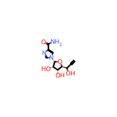 C#CC(O)[C@@H]1O[C@@H](n2cnc(C(N)=O)c2)[C@@H](O)[C@H]1O